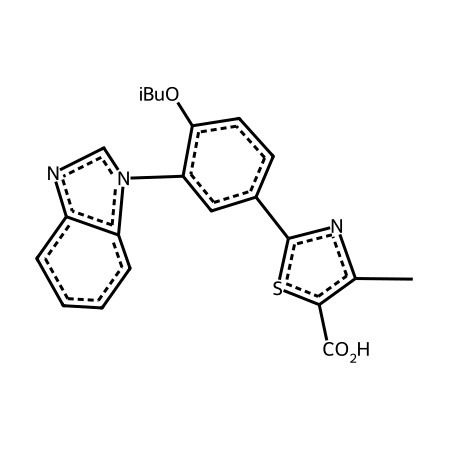 Cc1nc(-c2ccc(OCC(C)C)c(-n3cnc4ccccc43)c2)sc1C(=O)O